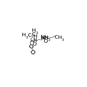 CCCCCNC(=O)[C@@H](N)CCCNC(=O)[C@H](CCC(C)C)Cc1ccc(-c2ccccc2)cc1